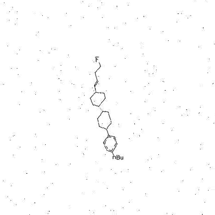 CCCCc1ccc(C2CCC([C@H]3CC[C@H](/C=C/CCF)CC3)CC2)cc1